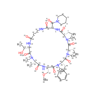 CC(C)C[C@H]1C(=O)NC(C(=O)N2CCCCC2)C(=O)NCCC(=O)N[C@@H](C(C)O)C(=O)N(C)[C@@H](C)C(=O)N[C@@H](COC(C)(C)C)C(=O)N(C)[C@@H](Cc2ccccc2)C(=O)N(C)[C@@H](CC(C)C)C(=O)N1C